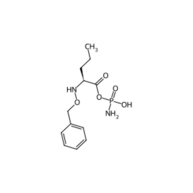 CCC[C@H](NOCc1ccccc1)C(=O)OP(N)(=O)O